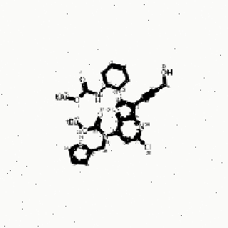 CC(C)(C)OC(=O)N[C@H]1CC=CC[C@@H]1c1sc2c(N(Cc3cccs3)C(=O)OC(C)(C)C)cc(Cl)nc2c1C#CCO